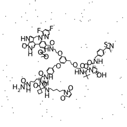 Cc1ncsc1-c1ccc(CNC(=O)[C@@H]2C[C@@H](O)CN2C(=O)[C@@H](NC(=O)COCCc2cc(OCCNC(=O)c3cc4c(cc3CS(C)(=O)=O)-c3c[nH]c(=O)c5[nH]cc(c35)CN4c3ncc(F)cc3F)cc(OCc3ccc(NC(=O)[C@H](CCCNC(N)=O)NC(=O)C4(C(=O)NCCCCCN5C(=O)C=CC5=O)CCC4)cc3)c2)C(C)(C)C)cc1